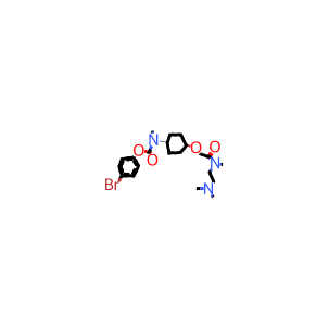 CN(C)CCN(C)C(=O)CO[C@H]1CC[C@H](N(C)C(=O)Oc2ccc(Br)cc2)CC1